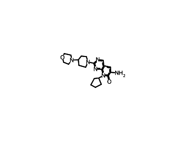 Nc1cc2cnc(N3CCC(N4CCOCC4)CC3)nc2n(C2CCCC2)c1=O